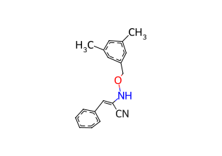 Cc1cc(C)cc(CONC(C#N)=Cc2ccccc2)c1